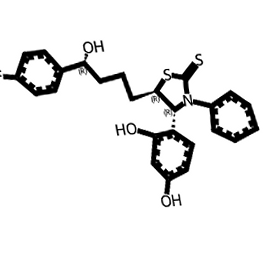 Oc1ccc([C@@H]2[C@@H](CCC[C@@H](O)c3ccc(F)cc3)SC(=S)N2c2ccccc2)c(O)c1